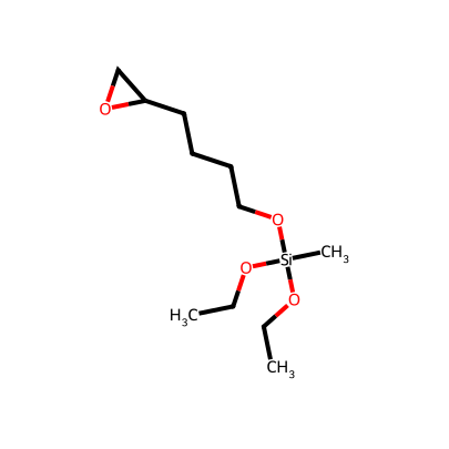 CCO[Si](C)(OCC)OCCCCC1CO1